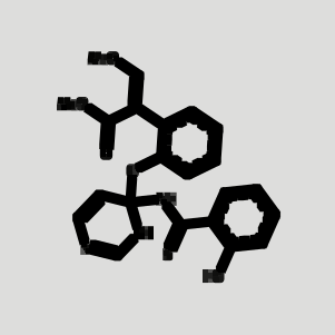 COC=C(C(=O)OC)c1ccccc1OC1(NC(=S)c2ccccc2O)C=CN=CN1